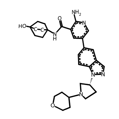 Nc1ncc(-c2ccc3c(cnn3[C@@H]3CCN(C4CCOCC4)C3)c2)cc1C(=O)NC12CCC(O)(CC1)CC2